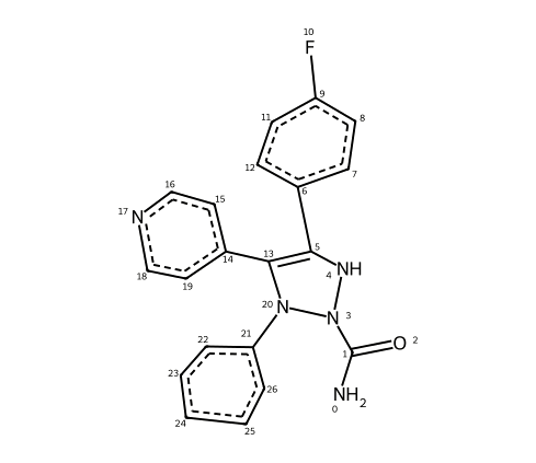 NC(=O)N1NC(c2ccc(F)cc2)=C(c2ccncc2)N1c1ccccc1